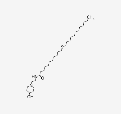 CCCCCCCCCCCCSCCCCCCCCCCC(=O)NCCN1CCC(O)CC1